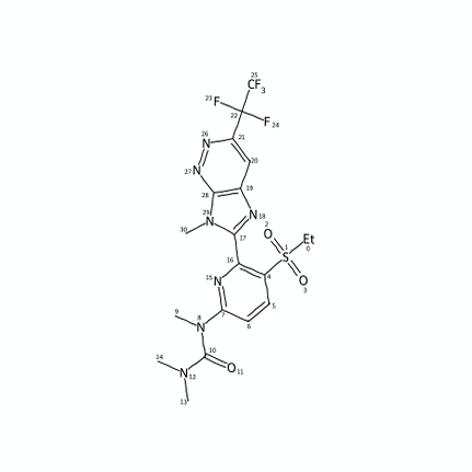 CCS(=O)(=O)c1ccc(N(C)C(=O)N(C)C)nc1-c1nc2cc(C(F)(F)C(F)(F)F)nnc2n1C